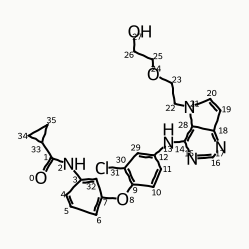 O=C(Nc1cccc(Oc2ccc(Nc3ncnc4ccn(CCOCCO)c34)cc2Cl)c1)C1CC1